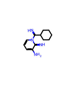 N=C(C1CCCCC1)n1cccc(N)c1=N